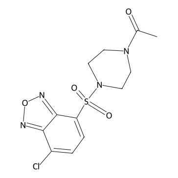 CC(=O)N1CCN(S(=O)(=O)c2ccc(Cl)c3nonc23)CC1